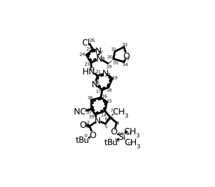 CC(C)(C)OC(=O)N1C[C@](C)(CO[Si](C)(C)C(C)(C)C)c2cc(-c3ccnc(Nc4cc(Cl)nn4C[C@@H]4CCOC4)n3)cc(C#N)c21